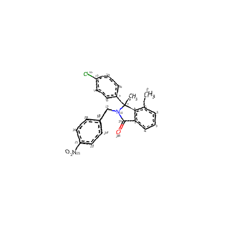 Cc1cccc2c1C(C)(c1ccc(Cl)cc1)N(Cc1ccc([N+](=O)[O-])cc1)C2=O